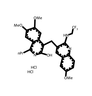 CCCc1nc(O)c(Cc2cc3cc(OC)ccc3nc2NCC(F)(F)F)c2cc(OC)c(OC)cc12.Cl.Cl